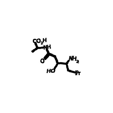 CC(C)CC(N)C(O)CC(=O)NC(C)C(=O)O